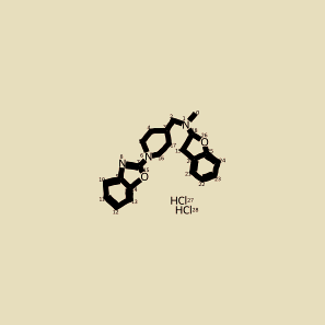 CN(CC1CCN(c2nc3ccccc3o2)CC1)C1Cc2ccccc2O1.Cl.Cl